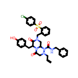 C=CCN1CC(=O)N2C(Cc3ccc(O)cc3)C(=O)N(Cc3ccccc3S(=O)(=O)c3ccc(Cl)cc3)CC2N1C(=O)NCc1ccccc1